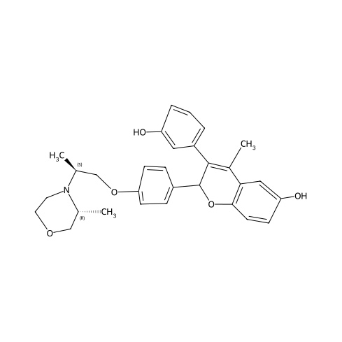 CC1=C(c2cccc(O)c2)C(c2ccc(OC[C@H](C)N3CCOC[C@H]3C)cc2)Oc2ccc(O)cc21